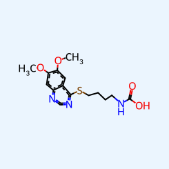 COc1cc2ncnc(SCCCCNC(=O)O)c2cc1OC